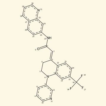 O=C(/C=C1\CCN(c2cccnc2)c2cc(C(F)(F)F)ccc21)Nc1ccc2cccnc2c1